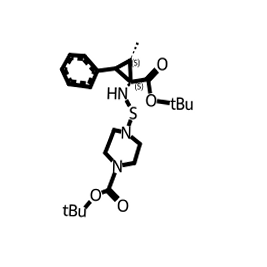 C[C@H]1C(c2ccccc2)[C@]1(NSN1CCN(C(=O)OC(C)(C)C)CC1)C(=O)OC(C)(C)C